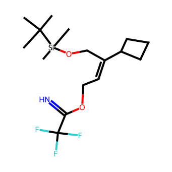 CC(C)(C)[Si](C)(C)OC/C(=C\COC(=N)C(F)(F)F)C1CCC1